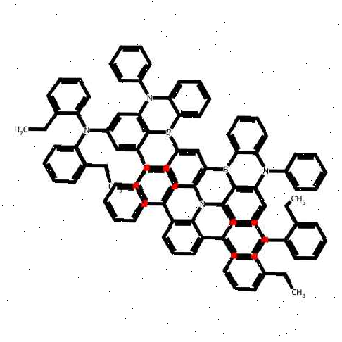 CCc1ccccc1N(c1cc2c3c(c1)N(c1ccccc1)c1cc4c(cc1B3c1ccccc1N2c1ccccc1)B1c2ccccc2N(c2ccccc2)c2cc(N(c3ccccc3CC)c3ccccc3CC)cc(c21)N4c1c(-c2ccccc2)cccc1-c1ccccc1)c1ccccc1CC